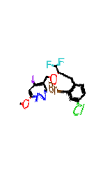 COc1cc(I)c(COC(Cc2ccc(Cl)cc2Br)C(F)F)cn1